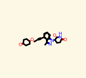 Cc1nn(C2CCC(=O)NC2=O)c2cccc(C#CCOC3CCC(=O)CC3)c12